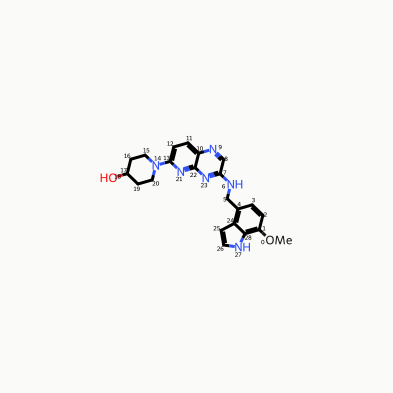 COc1ccc(CNc2cnc3ccc(N4CCC(O)CC4)nc3n2)c2cc[nH]c12